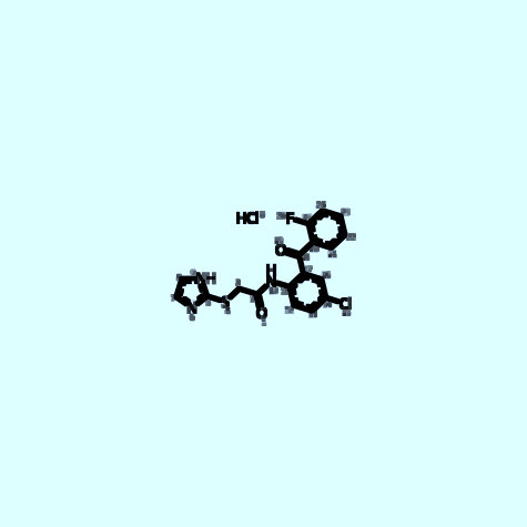 Cl.O=C(CSc1ncc[nH]1)Nc1ccc(Cl)cc1C(=O)c1ccccc1F